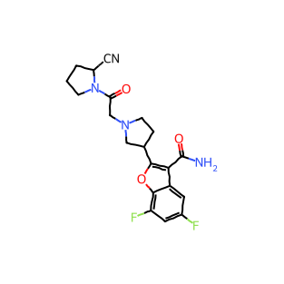 N#CC1CCCN1C(=O)CN1CCC(c2oc3c(F)cc(F)cc3c2C(N)=O)C1